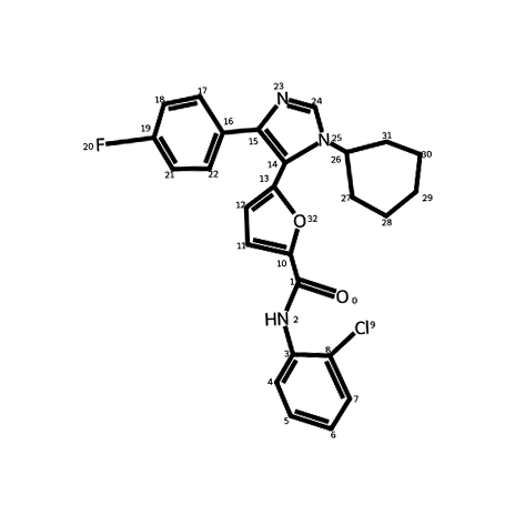 O=C(Nc1ccccc1Cl)c1ccc(-c2c(-c3ccc(F)cc3)ncn2C2CCCCC2)o1